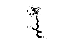 C\C=C/C(Cl)=C(/C=C/CCO[Si](C)(C)C(C)(C)C)CC